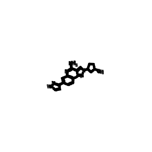 Nc1nc2cc(-c3cc[nH]n3)ccc2c2nn(C3CCC(O)C3)cc12